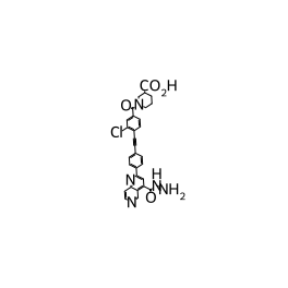 NNC(=O)c1cc(-c2ccc(C#Cc3ccc(C(=O)N4CCCC(C(=O)O)C4)cc3Cl)cc2)nc2ccncc12